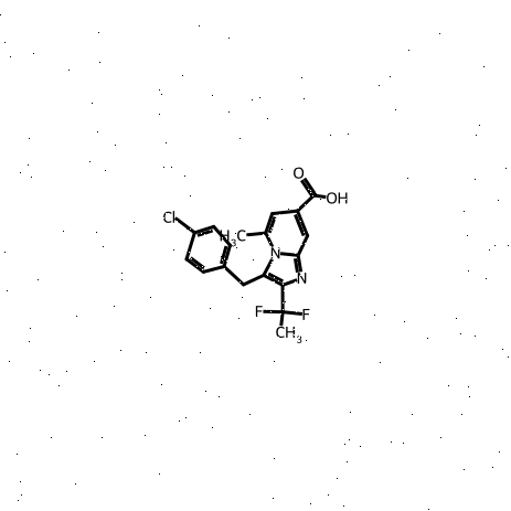 Cc1cc(C(=O)O)cc2nc(C(C)(F)F)c(Cc3ccc(Cl)cc3)n12